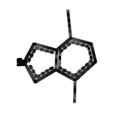 Cc1ccc(C)c2c[se]cc12